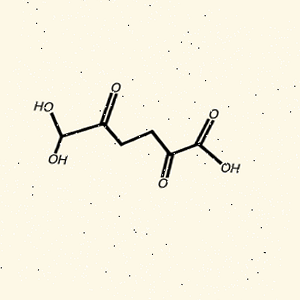 O=C(O)C(=O)CCC(=O)C(O)O